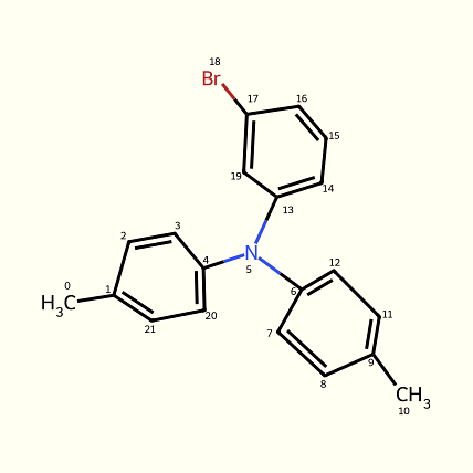 Cc1ccc(N(c2ccc(C)cc2)c2cccc(Br)c2)cc1